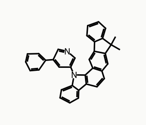 CC1(C)c2ccccc2-c2cc3c(ccc4c5ccccc5n(-c5cncc(-c6ccccc6)c5)c34)cc21